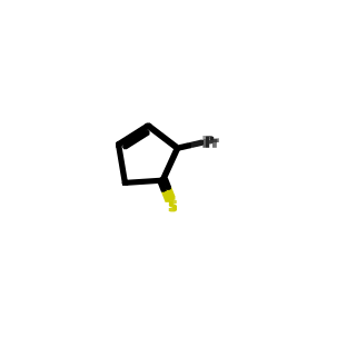 CC(C)C1C=CCC1=S